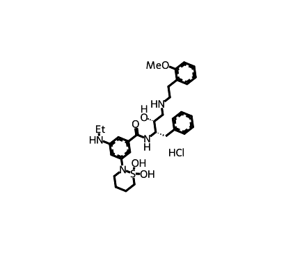 CCNc1cc(C(=O)N[C@@H](Cc2ccccc2)[C@H](O)CNCCc2ccccc2OC)cc(N2CCCCS2(O)O)c1.Cl